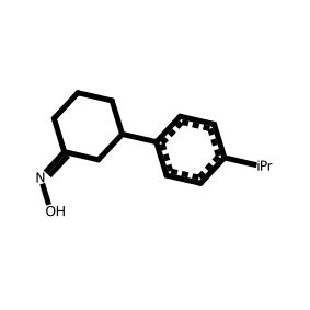 CC(C)c1ccc(C2CCC/C(=N/O)C2)cc1